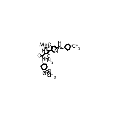 CCn1nc(C(=O)NC[C@H]2CC[C@H](S(C)(=O)=O)CC2)c(C)c1-c1cnc(NC[C@H]2CC[C@H](C(F)(F)F)CC2)cc1OC